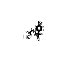 C[C@H](CO)CN1CC(C)(C#N)c2ccc(Br)cc21